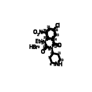 Br.CCn1c(=O)n(C2CCNCC2)c(=O)c2cc(Cl)cc([N+](=O)[O-])c21